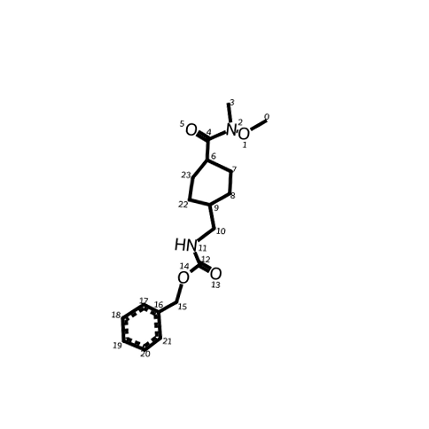 CON(C)C(=O)C1CCC(CNC(=O)OCc2ccccc2)CC1